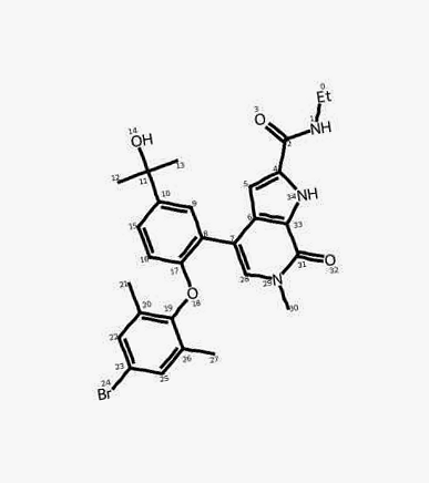 CCNC(=O)c1cc2c(-c3cc(C(C)(C)O)ccc3Oc3c(C)cc(Br)cc3C)cn(C)c(=O)c2[nH]1